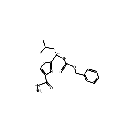 CC(C)C[C@H](NC(=O)OCc1ccccc1)c1nc(C(=O)NN)cs1